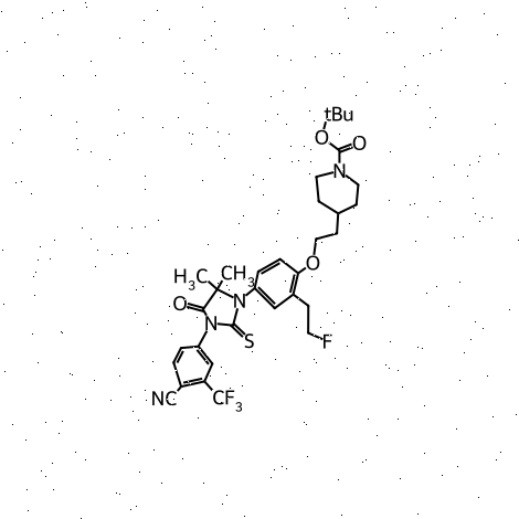 CC(C)(C)OC(=O)N1CCC(CCOc2ccc(N3C(=S)N(c4ccc(C#N)c(C(F)(F)F)c4)C(=O)C3(C)C)cc2CCF)CC1